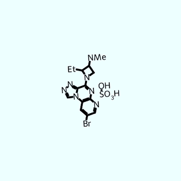 CCC1C(NC)CN1c1nc2ncc(Br)cc2n2cnnc12.O=S(=O)(O)O